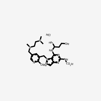 CCCC(CCO)Nc1nc(NC(=O)O)nc2cnn(Cc3cc(CN(C)CCN(C)C)cnc3OC)c12.Cl